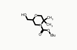 CC(C)(C)OC(=O)N1CC(CO)OCC1(C)C